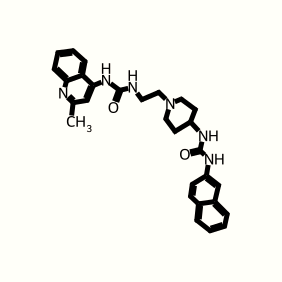 Cc1cc(NC(=O)NCCN2CCC(NC(=O)Nc3ccc4ccccc4c3)CC2)c2ccccc2n1